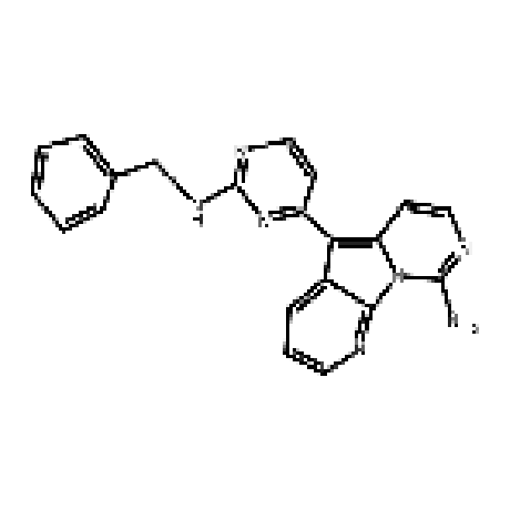 Nc1nccc2c(-c3ccnc(NCc4ccccc4)n3)c3cccnc3n12